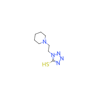 Sc1nnnn1CCN1CCCCC1